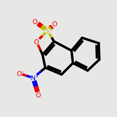 O=[N+]([O-])c1cc2ccccc2c2c1OS2(=O)=O